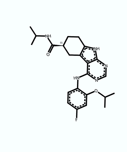 CC(C)NC(=O)[C@H]1CCc2[nH]c3ncnc(Nc4ccc(F)cc4OC(C)C)c3c2C1